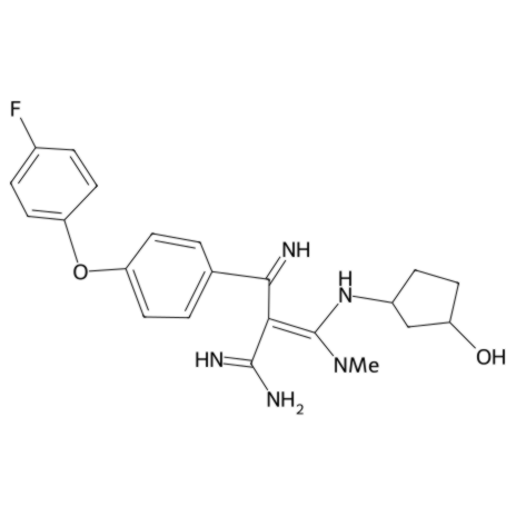 CN/C(NC1CCC(O)C1)=C(\C(=N)N)C(=N)c1ccc(Oc2ccc(F)cc2)cc1